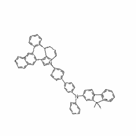 CC1(C)c2ccccc2-c2ccc(N(c3ccccc3)c3ccc(-c4ccc(-n5cc6c7c5C=CCC7c5ccccc5-c5cc7ccccc7cc5-6)cc4)cc3)cc21